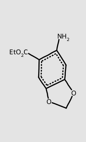 CCOC(=O)c1cc2c(cc1N)OCO2